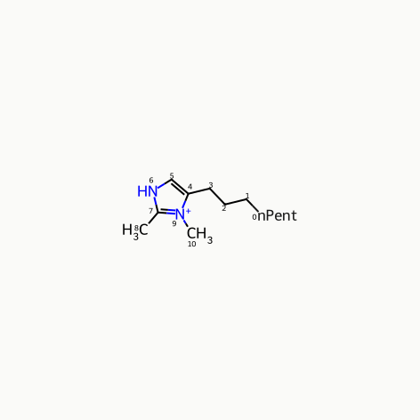 CCCCCCCCc1c[nH]c(C)[n+]1C